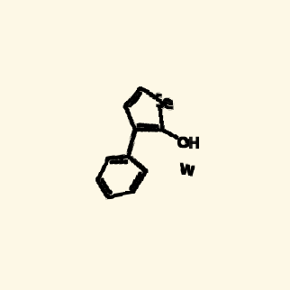 Oc1[se]ccc1-c1ccccc1.[W]